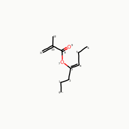 [CH2]CCC(=CCC)OC(=O)C(=C)C